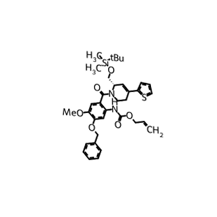 C=CCOC(=O)Nc1cc(OCc2ccccc2)c(OC)cc1C(=O)N1CCC(c2cccs2)=C[C@H]1CO[Si](C)(C)C(C)(C)C